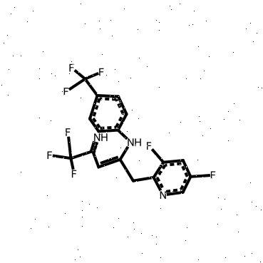 N=C(/C=C(/Cc1ncc(F)cc1F)Nc1ccc(C(F)(F)F)cc1)C(F)(F)F